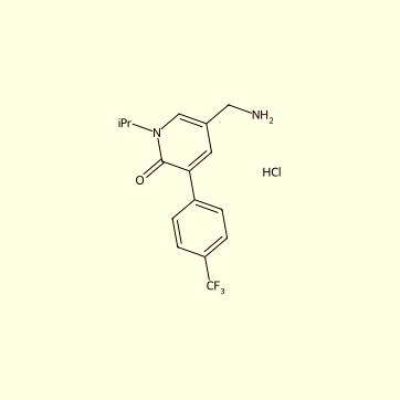 CC(C)n1cc(CN)cc(-c2ccc(C(F)(F)F)cc2)c1=O.Cl